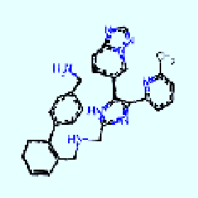 Cc1cccc(-c2nc(CNCC3=C(c4ccc(CN)cc4)CCC=C3)[nH]c2-c2ccc3ncnn3c2)n1